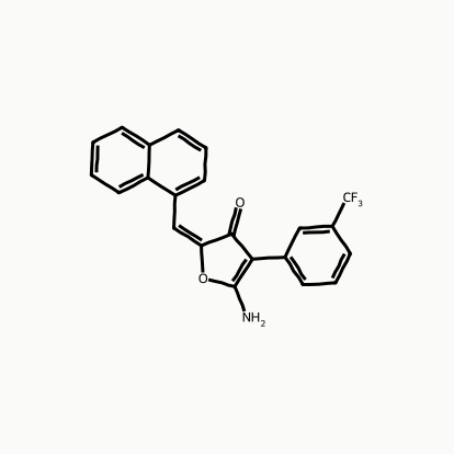 NC1=C(c2cccc(C(F)(F)F)c2)C(=O)C(=Cc2cccc3ccccc23)O1